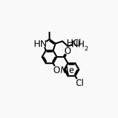 COc1ccc2[nH]c(C)c(CCN)c2c1C(=O)c1ccc(Cl)cc1.Cl